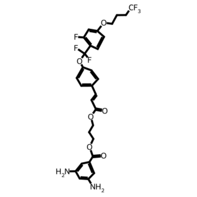 Nc1cc(N)cc(C(=O)OCCCOC(=O)C=Cc2ccc(OC(F)(F)c3ccc(OCCCC(F)(F)F)cc3F)cc2)c1